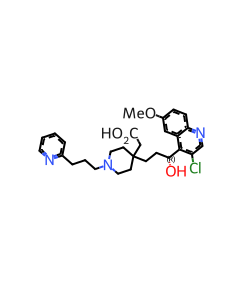 COc1ccc2ncc(Cl)c([C@H](O)CCC3(CC(=O)O)CCN(CCCc4ccccn4)CC3)c2c1